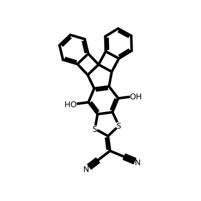 N#CC(C#N)=C1Sc2c(O)c3c(c(O)c2S1)C1c2ccccc2C12c1ccccc1C32